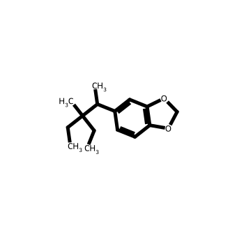 CCC(C)(CC)C(C)c1ccc2c(c1)OCO2